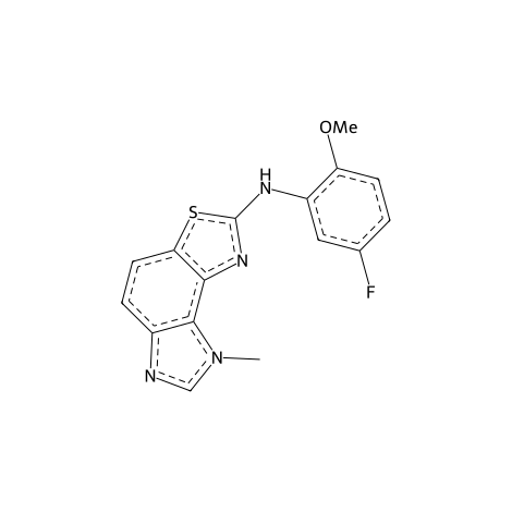 COc1ccc(F)cc1Nc1nc2c(ccc3ncn(C)c32)s1